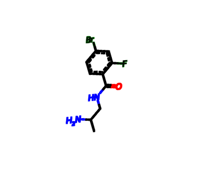 CC(N)CNC(=O)c1ccc(Br)cc1F